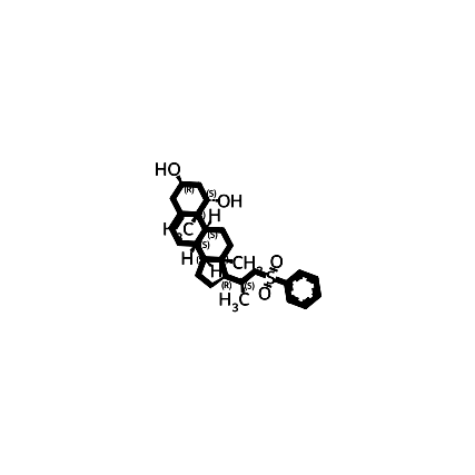 C[C@H](CS(=O)(=O)c1ccccc1)[C@H]1CC[C@H]2[C@@H]3CC=C4C[C@@H](O)C[C@H](O)[C@]4(C)[C@H]3CC[C@]12C